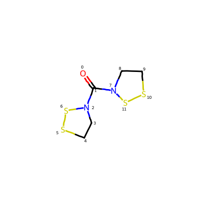 O=C(N1CCSS1)N1CCSS1